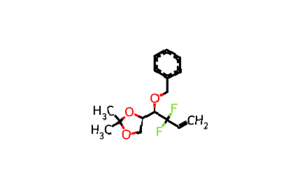 C=CC(F)(F)[C@H](OCc1ccccc1)[C@H]1COC(C)(C)O1